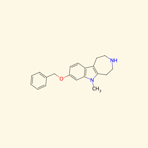 Cn1c2c(c3ccc(OCc4ccccc4)cc31)CCNCC2